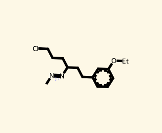 CCOc1cccc(CCC(CCCCl)/N=N/C)c1